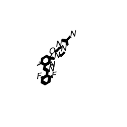 CCN(C[C@@]1(C)CC[C@H](C)c2cc(-c3c(F)cccc3F)nnc21)C(=O)c1ncc(C#N)cn1